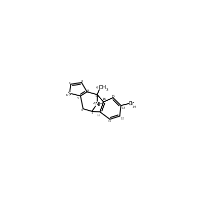 CC12NC(Cc3sccc31)c1ccc(Br)cc12